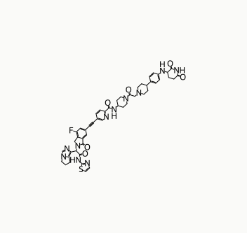 O=C1CCC(Nc2ccc(C3CCN(CC(=O)N4CCC(NC(=O)c5ccc(C#Cc6cc(F)c7c(c6)C(=O)N(C(C(=O)Nc6nccs6)c6ncn8c6CCC8)C7)cn5)CC4)CC3)cc2)C(=O)N1